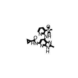 Cc1nc2c(Nc3ncccc3S(C)(=O)=O)cc(NC(=O)C3CC3)nc2[nH]1